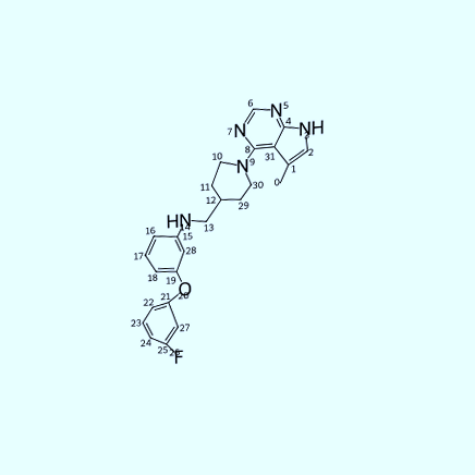 Cc1c[nH]c2ncnc(N3CCC(CNc4cccc(Oc5cccc(F)c5)c4)CC3)c12